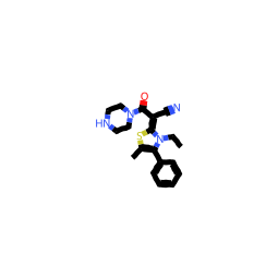 CCN1C(=C(C#N)C(=O)N2CCNCC2)SC(C)=C1c1ccccc1